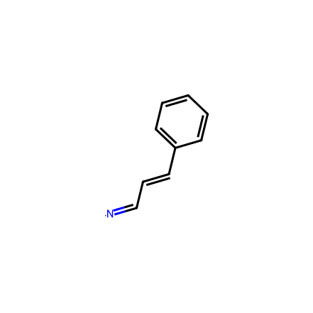 [N]=CC=Cc1ccccc1